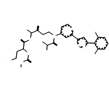 CC(C)C(NC(=O)C(CCC(=O)O)NC(=O)OC(C)(C)C)C(=O)CCN(C(=O)C(Cl)Cl)c1ccnc(-c2cc(-c3c(Cl)cccc3Cl)no2)c1